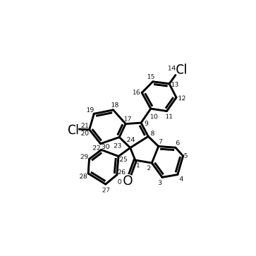 O=C1c2ccccc2C2=C(c3ccc(Cl)cc3)c3ccc(Cl)cc3C12c1ccccc1